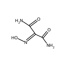 NC(=O)C(=NO)C(N)=O